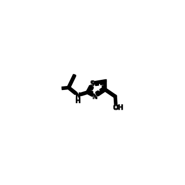 CC(C)Nc1nc(CO)cs1